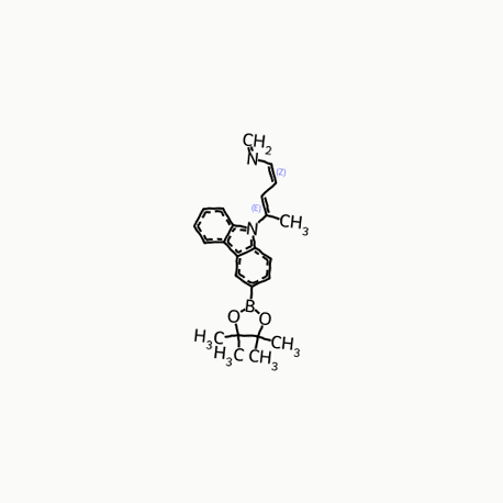 C=N/C=C\C=C(/C)n1c2ccccc2c2cc(B3OC(C)(C)C(C)(C)O3)ccc21